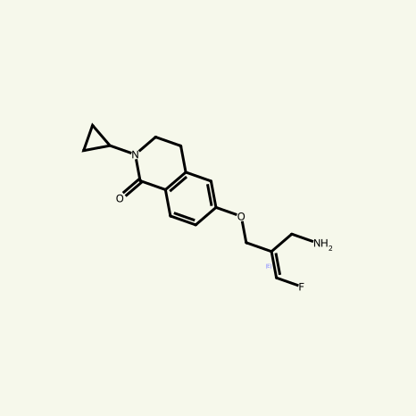 NC/C(=C\F)COc1ccc2c(c1)CCN(C1CC1)C2=O